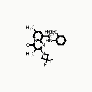 Cc1cc([C@@H](C)Nc2ccccc2C(=O)O)c2nc(N3CC(F)(F)C3)c(C)c(=O)n2c1